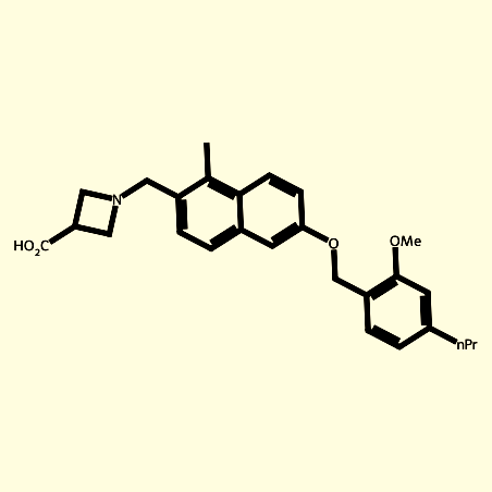 CCCc1ccc(COc2ccc3c(C)c(CN4CC(C(=O)O)C4)ccc3c2)c(OC)c1